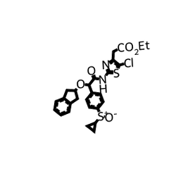 CCOC(=O)Cc1nc(NC(=O)C(OC2Cc3ccccc3C2)c2ccc([S+]([O-])C3CC3)cc2)sc1Cl